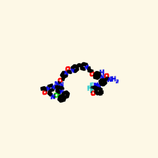 C=CC(=O)N1CCN(c2nc(OCC3CCN(C(=O)CN4CCC(CC5CCN(CCCOc6ccc(Nc7cc(-n8nc(C(F)(F)F)c9c8CC(C)(C)CC9=O)ccc7C(N)=O)cc6)CC5)CC4)C3)nc3c2CCN(c2cccc4cccc(Cl)c24)C3)CC1CC#N